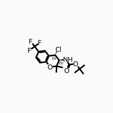 CC(C)(C)OC(=O)N[C@@H]1[C@@H](Cl)c2cc(C(F)(F)F)ccc2OC1(C)C